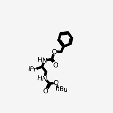 CCCCOC(=O)NCC(NC(=O)OCc1ccccc1)C(C)C